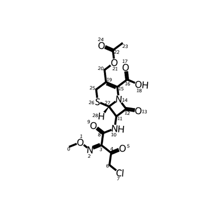 CO/N=C(/C(=O)CCl)C(=O)NC1C(=O)N2C(C(=O)O)=C(COC(C)=O)CS[C@@H]12